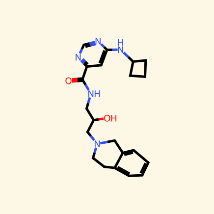 O=C(NCC(O)CN1CCc2ccccc2C1)c1cc(NC2CCC2)ncn1